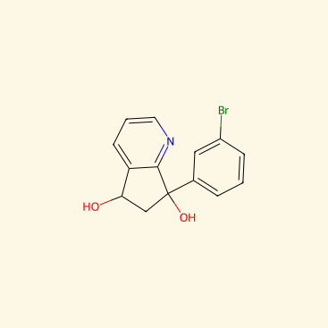 OC1CC(O)(c2cccc(Br)c2)c2ncccc21